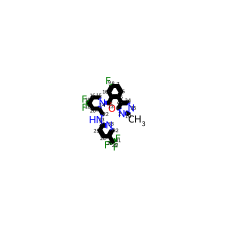 Cc1ncc(-c2ccc(F)cc2C(=O)N2CCC(F)(F)CC2CNc2ccc(C(F)(F)F)cn2)cn1